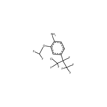 Nc1ccc(C(F)(C(F)(F)F)C(F)(F)Cl)cc1OC(F)F